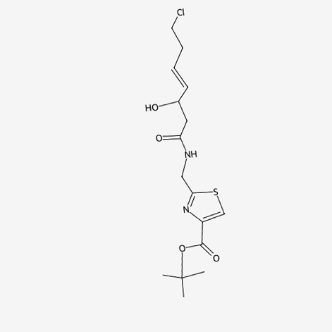 CC(C)(C)OC(=O)c1csc(CNC(=O)CC(O)C=CCCCl)n1